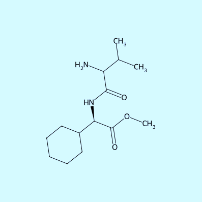 COC(=O)[C@H](NC(=O)C(N)C(C)C)C1CCCCC1